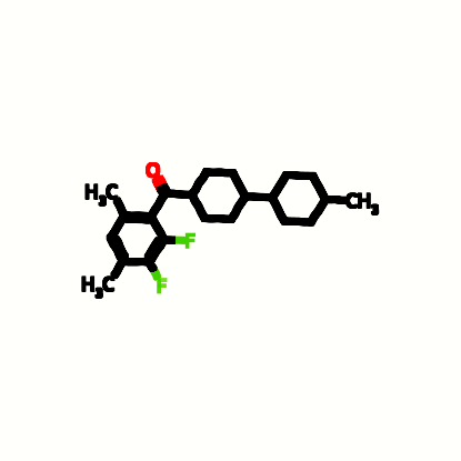 Cc1cc(C)c(C(=O)C2CCC(C3CCC(C)CC3)CC2)c(F)c1F